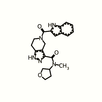 CN(C(=O)c1n[nH]c2c1CN(C(=O)c1cc3ccccc3[nH]1)CC2)C1CCOC1